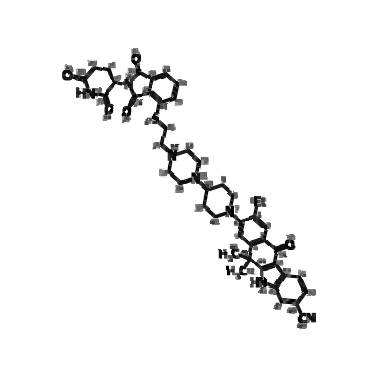 CCc1cc2c(cc1N1CCC(N3CCN(CCSc4cccc5c4C(=O)N(C4CCC(=O)NC4=O)C5=O)CC3)CC1)C(C)(C)c1[nH]c3cc(C#N)ccc3c1C2=O